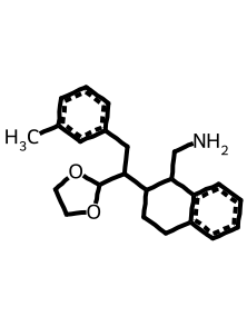 Cc1cccc(CC(C2OCCO2)C2CCc3ccccc3C2CN)c1